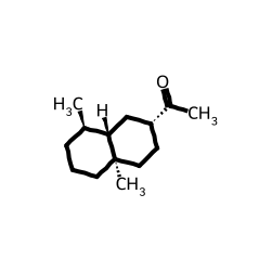 CC(=O)[C@@H]1CC[C@@]2(C)CCC[C@@H](C)[C@@H]2C1